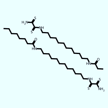 CCC(=O)NCCCCCCCCCCCCNC(=S)C(N)=S.CCCCCCCC(=O)NCCCCCCCCCCCCNC(=S)C(N)=S